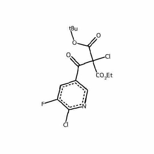 CCOC(=O)C(Cl)(C(=O)OC(C)(C)C)C(=O)c1cnc(Cl)c(F)c1